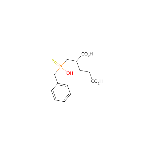 O=C(O)CCC(CP(O)(=S)Cc1ccccc1)C(=O)O